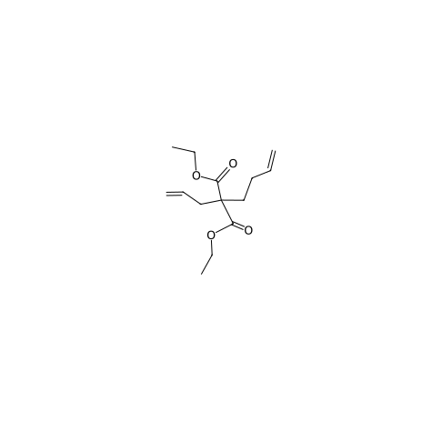 C=CCCC(CC=C)(C(=O)OCC)C(=O)OCC